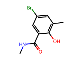 CNC(=O)c1cc(Br)cc(C)c1O